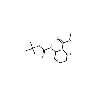 COC(=O)C1NCCCC1NC(=O)OC(C)(C)C